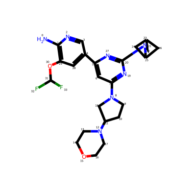 Nc1ncc(-c2cc(N3CCC(N4CCOCC4)C3)nc(N3CC4CC3C4)n2)cc1OC(F)F